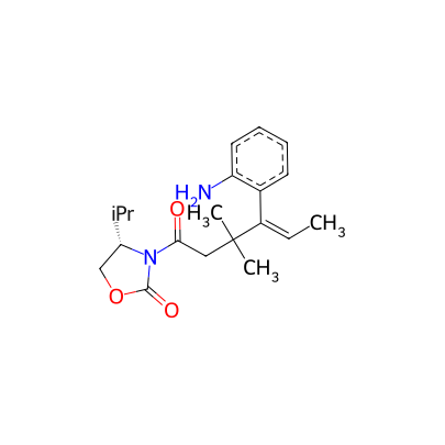 C/C=C(\c1ccccc1N)C(C)(C)CC(=O)N1C(=O)OC[C@@H]1C(C)C